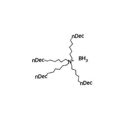 B.CCCCCCCCCCCCCCCC[N+](CCCCCCCCCCCCCCCC)(CCCCCCCCCCCCCCCC)CCCCCCCCCCCCCCCC